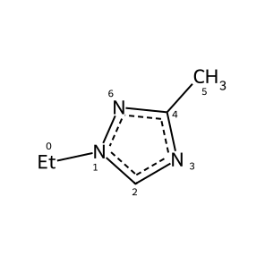 [CH2]Cn1cnc(C)n1